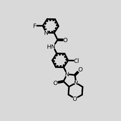 O=C(Nc1ccc(N2C(=O)C3COCCN3C2=O)c(Cl)c1)c1cccc(F)n1